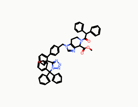 COC(=O)C1c2ncn(Cc3ccc(-c4ccccc4-c4nnnn4C(c4ccccc4)(c4ccccc4)c4ccccc4)cc3)c2CCN1C(=O)C(c1ccccc1)c1ccccc1